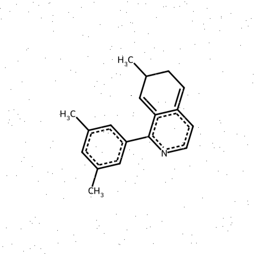 Cc1cc(C)cc(-c2nccc3c2=CC(C)CC=3)c1